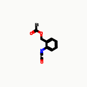 CCC(=O)OCc1ccccc1N=C=O